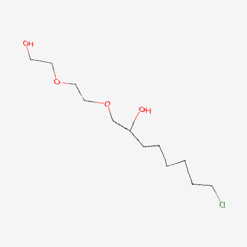 OCCOCCOCC(O)CCCCCCCl